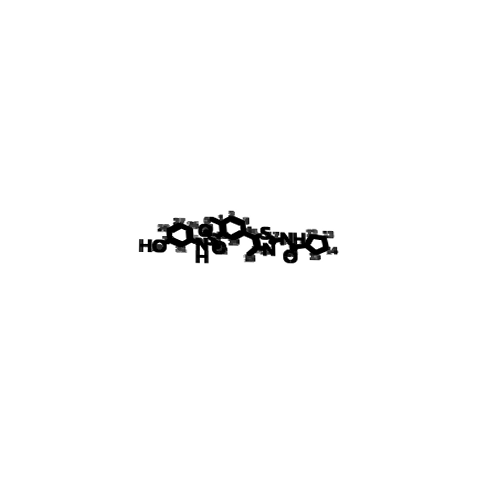 Cc1ccc(-c2sc(NC(=O)C3CCCC3)nc2C)cc1S(=O)(=O)Nc1cccc(O)c1